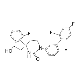 O=C1NC(CCO)(c2ccccc2F)CCN1c1ccc(F)c(-c2ccc(F)cc2F)c1